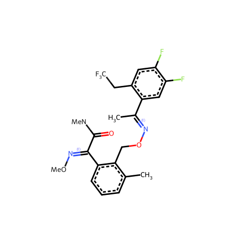 CNC(=O)/C(=N/OC)c1cccc(C)c1CO/N=C(\C)c1cc(F)c(F)cc1CC(F)(F)F